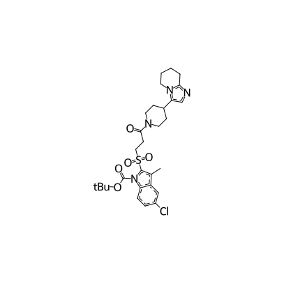 Cc1c(S(=O)(=O)CCC(=O)N2CCC(c3cnc4n3CCCC4)CC2)n(C(=O)OC(C)(C)C)c2ccc(Cl)cc12